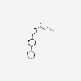 O=C(NCCc1ccc(-c2ccccc2)cc1)OCC(F)(F)F